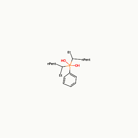 CCCCCC(CC)P(O)(O)(c1ccccc1)C(CC)CCCCC